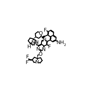 C#Cc1c(F)ccc2cc(N)cc(-c3ncc4c(N5C[C@@H]6CC[C@](C7CCOCC7)(C5)N6)nc(OC[C@@]56CCCN5CC(=C(F)F)C6)nc4c3F)c12